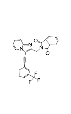 O=C1c2ccccc2C(=O)N1Cc1nc2ccccn2c1C#Cc1cccc(C(F)(F)F)c1